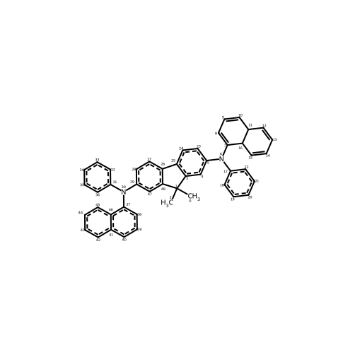 CC1(C)c2cc(N(C3=CC=CC4C=CC=CC34)c3ccccc3)ccc2-c2ccc(N(c3ccccc3)c3cccc4ccccc34)cc21